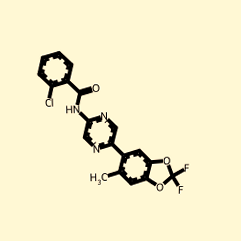 Cc1cc2c(cc1-c1cnc(NC(=O)c3ccccc3Cl)cn1)OC(F)(F)O2